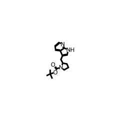 CC(C)(C)OC(=O)N1CCCC1Cc1c[nH]c2ncccc12